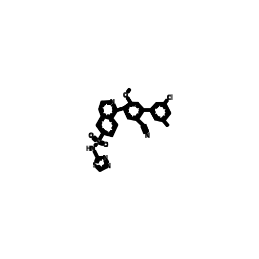 COc1cc(-c2cc(C)cc(Cl)c2)c(C#N)cc1-c1nccc2cc(S(=O)(=O)Nc3nncs3)ccc12